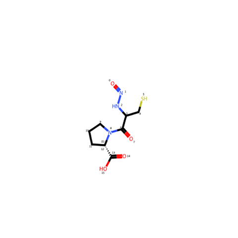 O=NNC(CS)C(=O)N1CCC[C@H]1C(=O)O